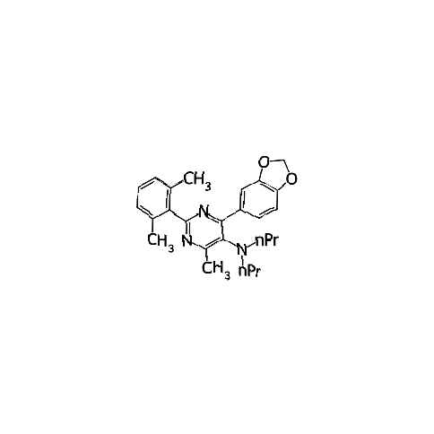 CCCN(CCC)c1c(C)nc(-c2c(C)cccc2C)nc1-c1ccc2c(c1)OCO2